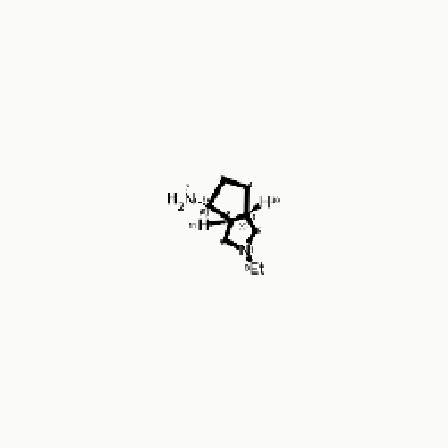 CCN1C[C@H]2CC[C@@H](N)[C@H]2C1